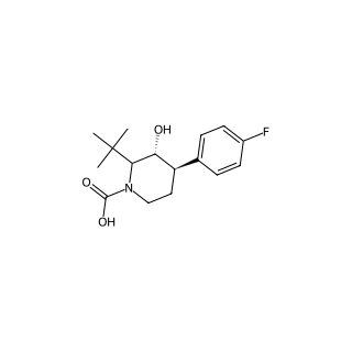 CC(C)(C)C1[C@H](O)[C@@H](c2ccc(F)cc2)CCN1C(=O)O